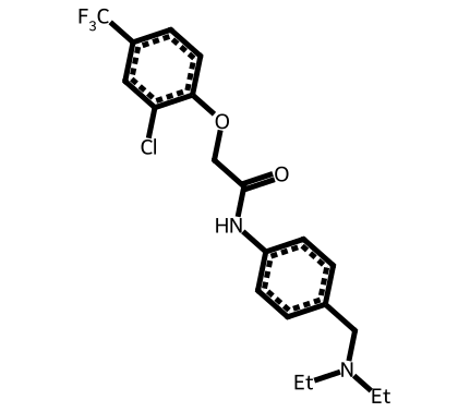 CCN(CC)Cc1ccc(NC(=O)COc2ccc(C(F)(F)F)cc2Cl)cc1